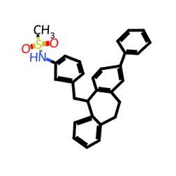 CS(=O)(=O)Nc1cccc(CC2c3ccccc3CCc3cc(-c4ccccc4)ccc32)c1